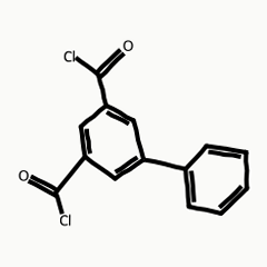 O=C(Cl)c1cc(C(=O)Cl)cc(-c2ccccc2)c1